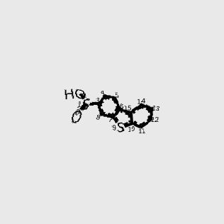 O=S(O)c1ccc2c(c1)sc1ccccc12